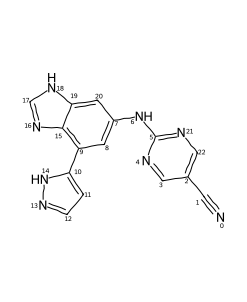 N#Cc1cnc(Nc2cc(-c3ccn[nH]3)c3nc[nH]c3c2)nc1